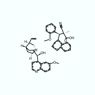 C=C[C@H]1C[N@]2CC[C@H]1C[C@@H]2[C@@H](O)c1ccnc2ccc(OC)cc12.COc1ccccc1[C@H](c1cccc2ccccc12)[C@@](C)(C#N)C(=O)O